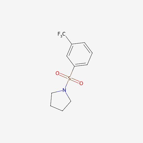 O=S(=O)(c1cccc(C(F)(F)F)c1)N1CCCC1